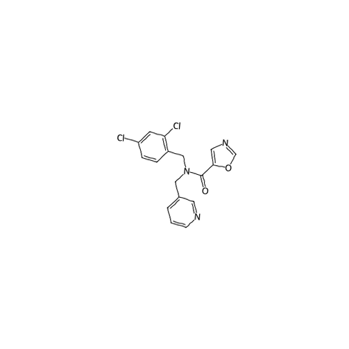 O=C(c1cnco1)N(Cc1cccnc1)Cc1ccc(Cl)cc1Cl